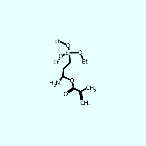 C=C(C)C(=O)OC(N)CC[Si](OCC)(OCC)OCC